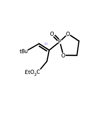 CCOC(=O)C/C(=C\C(C)(C)C)P1(=O)OCCO1